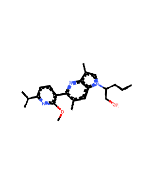 CCCC(CO)n1cc(C)c2nc(-c3ccc(C(C)C)nc3OC)c(C)cc21